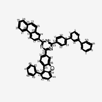 c1ccc(-c2cccc(-c3ccc(-c4nc(-c5ccc6c(ccc7ccccc76)c5)nc(-c5ccc6c(c5)oc5cccc(-c7ccccc7)c56)n4)cc3)c2)cc1